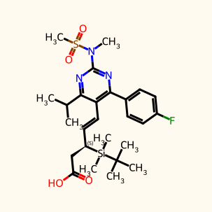 CC(C)c1nc(N(C)S(C)(=O)=O)nc(-c2ccc(F)cc2)c1C=C[C@H](CC(=O)O)[Si](C)(C)C(C)(C)C